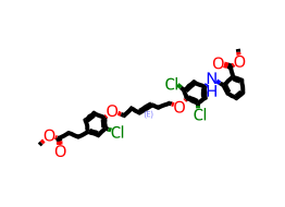 COC(=O)CCc1ccc(OCC/C=C/CCOc2c(Cl)cc(Nc3ccccc3C(=O)OC)cc2Cl)c(Cl)c1